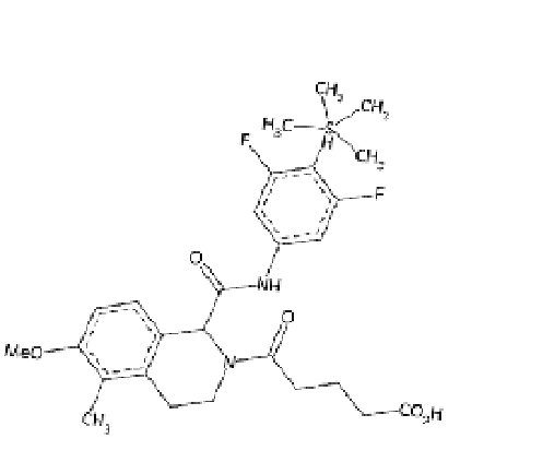 COc1ccc2c(c1C)CCN(C(=O)CCCC(=O)O)C2C(=O)Nc1cc(F)c([SH](C)(C)(C)C)c(F)c1